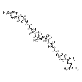 C/C(N)=N/N=C(\N)c1ccc(OCCCNC(=O)CCC(C)(C#N)/N=N/C(C)(C#N)CCC(=O)NCCCOc2ccc(-c3nnc(C)nn3)cc2)cc1